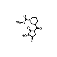 CC(C)(C)OC(=O)N1CCCC(C(=O)C2CC(=O)N(O)C2=O)C1